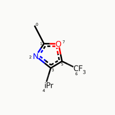 Cc1nc(C(C)C)c(C(F)(F)F)o1